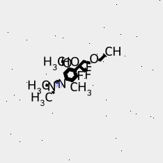 C#CCOCCC(O)(c1cc(C)c(/N=C/N(C)CC)cc1OC)C(F)(F)F